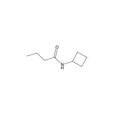 CCCC(=O)NC1C[CH]C1